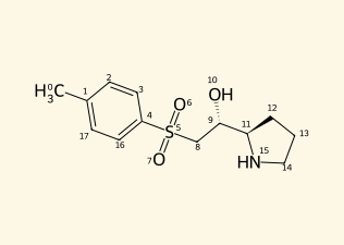 Cc1ccc(S(=O)(=O)C[C@H](O)[C@H]2CCCN2)cc1